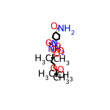 CC(C)(CCOC(=O)C(C)(C)C)COS(=O)(=O)ON(C(N)=O)[C@H]1CC[C@H](C(N)=O)CC1